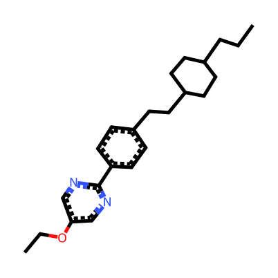 CCCC1CCC(CCc2ccc(-c3ncc(OCC)cn3)cc2)CC1